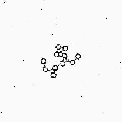 c1ccc(-c2cccc(-n3c4ccccc4c4cc(-c5ccc6c(c5)c5c7c(ccc5n6-c5cccc(-c6ccccc6)c5)C(c5ccccc5)(c5ccccc5)c5ccccc5-7)ccc43)c2)cc1